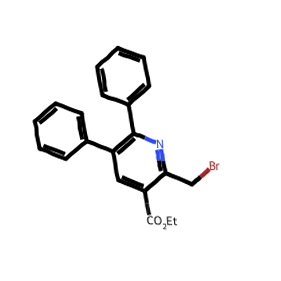 CCOC(=O)c1cc(-c2ccccc2)c(-c2ccccc2)nc1CBr